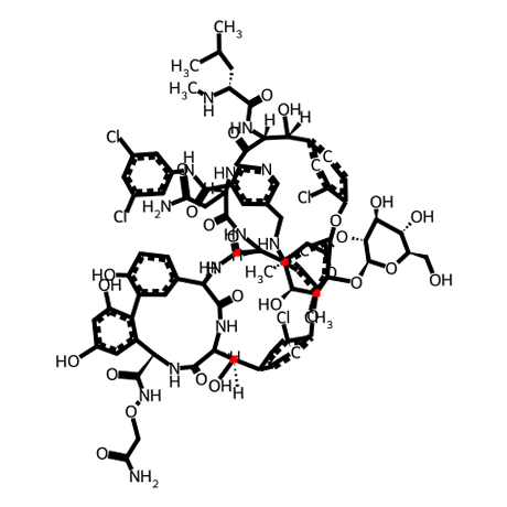 CN[C@H](CC(C)C)C(=O)N[C@H]1C(=O)N[C@@H](CC(N)=O)C(=O)N[C@H]2C(=O)N[C@H]3C(=O)N[C@H](C(=O)N[C@@H](C(=O)NOCC(N)=O)c4cc(O)cc(O)c4-c4cc3ccc4O)[C@H](O)c3ccc(c(Cl)c3)Oc3cc2cc(c3O[C@@H]2O[C@H](CO)[C@@H](O)[C@H](O)[C@H]2O[C@H]2C[C@](C)(NCc3cncc(C(=O)Nc4cc(Cl)cc(Cl)c4)c3)[C@H](O)[C@H](C)O2)Oc2ccc(cc2Cl)[C@H]1O